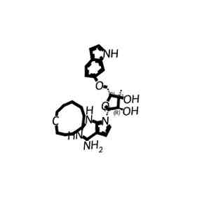 C[C@@]1(O)[C@@H](COc2ccc3cc[nH]c3c2)O[C@@H](n2ccc3c2NC2(CCCCCCCCC2)NC3N)[C@@H]1O